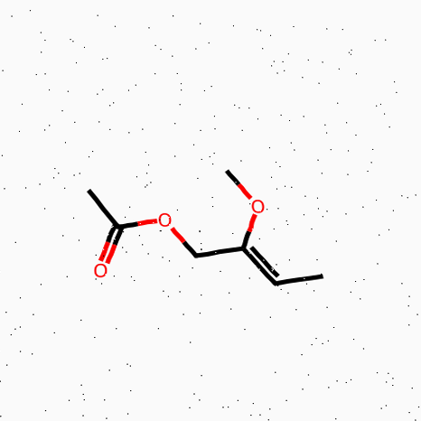 CC=C(COC(C)=O)OC